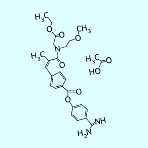 CC(=O)O.CCOC(=O)CN(CCOC)C(=O)C(C)=Cc1ccc(C(=O)Oc2ccc(C(=N)N)cc2)cc1